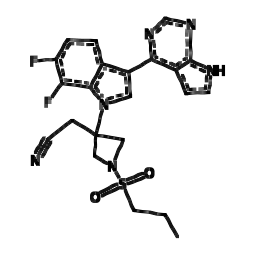 CCCS(=O)(=O)N1CC(CC#N)(n2cc(-c3ncnc4[nH]ccc34)c3ccc(F)c(F)c32)C1